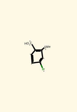 CSc1cc(Br)ccc1C(=O)O